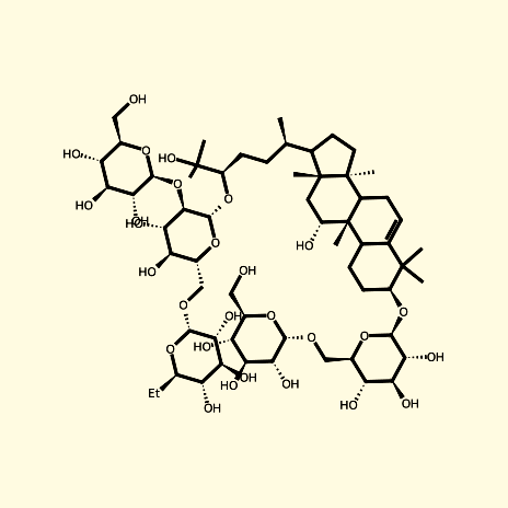 CC[C@H]1O[C@H](OC[C@H]2O[C@@H](O[C@H](CC[C@@H](C)C3CC[C@@]4(C)C5CC=C6C(CC[C@H](O[C@@H]7O[C@H](CO[C@H]8O[C@H](CO)[C@@H](O)[C@H](O)[C@H]8O)[C@@H](O)[C@H](O)[C@H]7O)C6(C)C)[C@]5(C)[C@H](O)C[C@]34C)C(C)(C)O)[C@H](O[C@@H]3O[C@H](CO)[C@@H](O)[C@H](O)[C@H]3O)[C@@H](O)[C@@H]2O)[C@H](O)[C@@H](O)[C@@H]1O